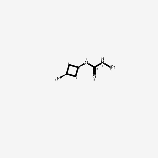 CC(C)NC(=O)O[C@H]1C[C@@H](F)C1